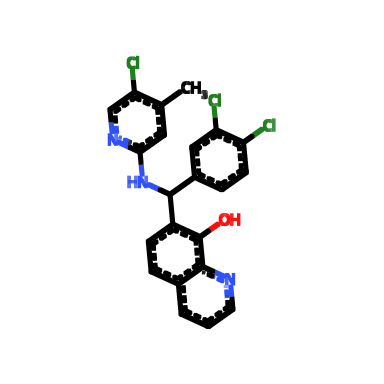 Cc1cc(NC(c2ccc(Cl)c(Cl)c2)c2ccc3cccnc3c2O)ncc1Cl